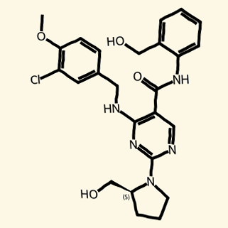 COc1ccc(CNc2nc(N3CCC[C@H]3CO)ncc2C(=O)Nc2ccccc2CO)cc1Cl